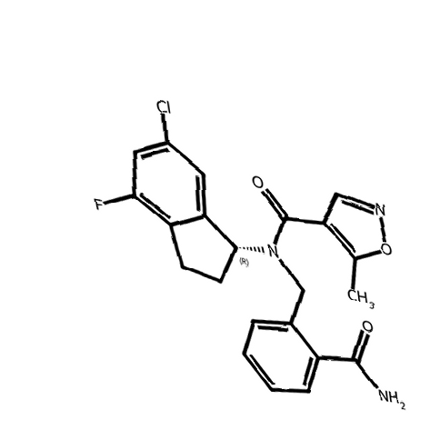 Cc1oncc1C(=O)N(Cc1ccccc1C(N)=O)[C@@H]1CCc2c(F)cc(Cl)cc21